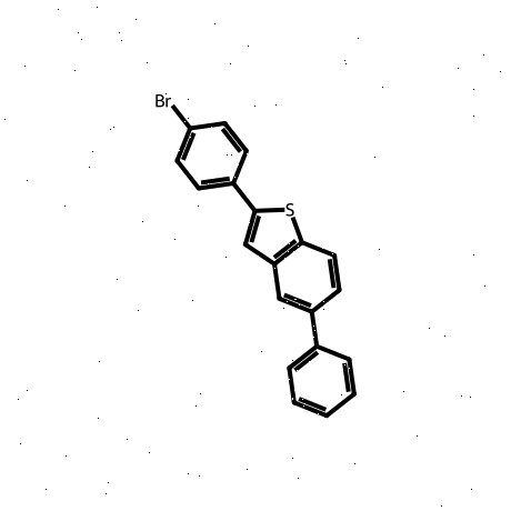 Brc1ccc(-c2cc3cc(-c4ccccc4)ccc3s2)cc1